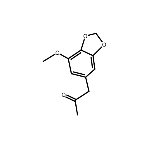 COc1cc(CC(C)=O)cc2c1OCO2